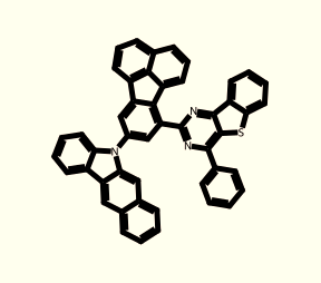 c1ccc(-c2nc(-c3cc(-n4c5ccccc5c5cc6ccccc6cc54)cc4c3-c3cccc5cccc-4c35)nc3c2sc2ccccc23)cc1